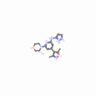 Cc1noc(C)c1-c1cc(Nc2ccn[nH]2)nc(N2CCOC[C@H]2C)c1